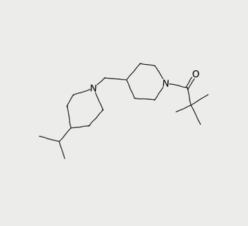 CC(C)C1CCN(CC2CCN(C(=O)C(C)(C)C)CC2)CC1